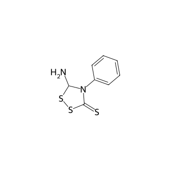 NC1SSC(=S)N1c1ccccc1